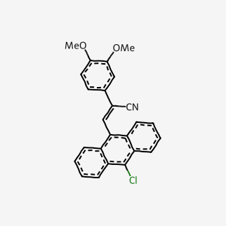 COc1ccc(C(C#N)=Cc2c3ccccc3c(Cl)c3ccccc23)cc1OC